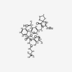 CCCCC1=NC2(CCCC2)C(=O)N1Cc1ccc(-c2ccccc2S(=O)(=O)N(COCC[Si](C)(C)C)c2onc(C)c2C)c(C(C)O)c1